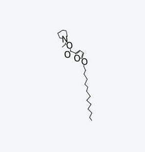 CCCCCCCCCCCCCCOc1ccc(C(=O)OC(C)N2CCCCC2)o1